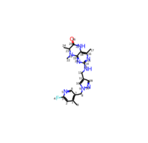 Cc1cc(F)ncc1Cn1cc(CNc2nc(C)c3c(n2)N(C)C(C)C(=O)N3)cn1